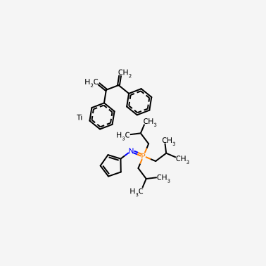 C=C(C(=C)c1ccccc1)c1ccccc1.CC(C)CP(CC(C)C)(CC(C)C)=NC1=CC=CC1.[Ti]